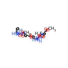 CCOC(=O)CCc1ccc2c(c1)N(C)C(=O)[C@@H](NC(=O)c1n[nH]c(Cc3cccc(OC(=O)CCc4ccc5c(c4)N(C)C(=O)[C@@H](NC(=O)c4n[nH]c(Cc6ccccc6)n4)CO5)c3)n1)CO2